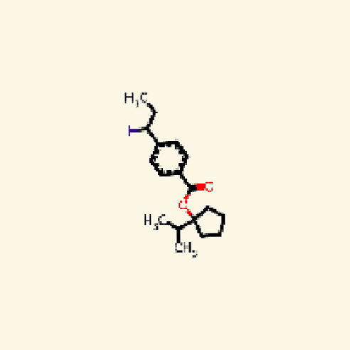 CCC(I)c1ccc(C(=O)OC2(C(C)C)CCCC2)cc1